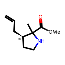 C=CC[C@@H]1CCNC1(C)C(=O)OC